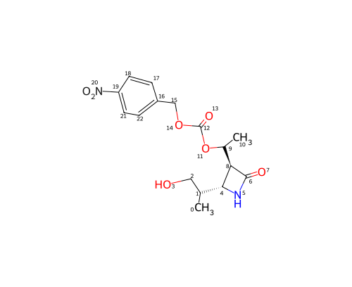 CC(CO)[C@H]1NC(=O)[C@@H]1C(C)OC(=O)OCc1ccc([N+](=O)[O-])cc1